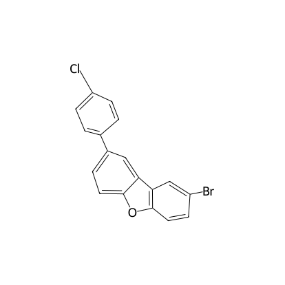 Clc1ccc(-c2ccc3oc4ccc(Br)cc4c3c2)cc1